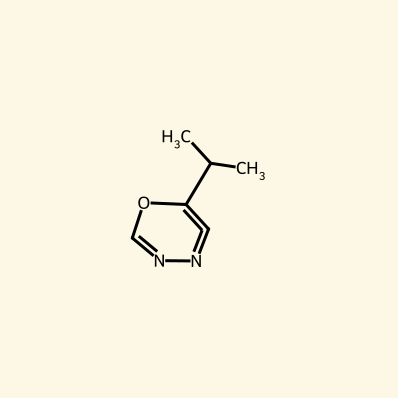 CC(C)C1=C=NN=CO1